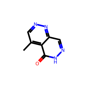 Cc1cnnc2cn[nH]c(=O)c12